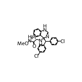 CONC(=O)C(N[C@@]1(C(c2ccc(Cl)cc2)c2ccc(Cl)cc2)N=CNc2ccccc21)C(C)C